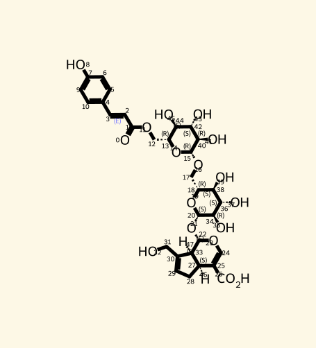 O=C(/C=C/c1ccc(O)cc1)OC[C@H]1O[C@@H](OC[C@H]2O[C@@H](O[C@@H]3OC=C(C(=O)O)[C@H]4CC=C(CO)[C@@H]34)[C@H](O)[C@@H](O)[C@@H]2O)[C@H](O)[C@@H](O)[C@@H]1O